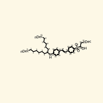 CCCCCCCCCCCCCCCCC(CCCCCCCCCCCCCCC)Nc1ccc(C=Cc2ccc(S(=O)(=O)C(O)CCCCCCCCCCC)cc2)cc1